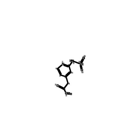 COC(=O)Cc1ccnc(N[SH](=O)=O)c1